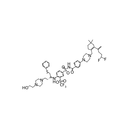 C=C(CCC(F)F)C1=C(CN2CCN(c3ccc(C(=O)NS(=O)(=O)c4ccc(N[C@H](CCN5CCN(CCO)CC5)CSc5ccccc5)c(S(=O)(=O)C(F)(F)F)c4)cc3)CC2)CCC(C)(C)C1